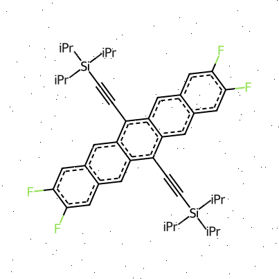 CC(C)[Si](C#Cc1c2cc3cc(F)c(F)cc3cc2c(C#C[Si](C(C)C)(C(C)C)C(C)C)c2cc3cc(F)c(F)cc3cc12)(C(C)C)C(C)C